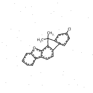 CC1(C)c2cc(Cl)ccc2-c2ccc3c(oc4ccccc43)c21